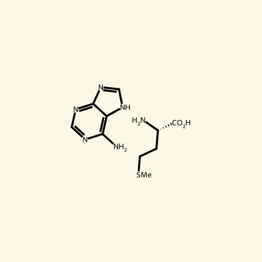 CSCC[C@H](N)C(=O)O.Nc1ncnc2nc[nH]c12